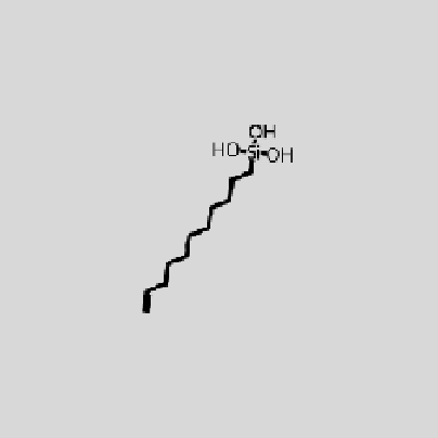 C=CCCCCCCCCC[Si](O)(O)O